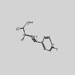 CC(O)[C@H](Cl)/N=C/c1ccc(Cl)cc1